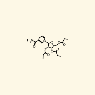 CCC(=O)OCC1OC(N2C=CCC(C(N)=O)=C2)[C@H](OC(=O)CC)[C@@H]1OC(=O)CC